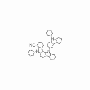 N#Cc1cccc2c3c(ccc4c5ccccc5n(-c5ccc6c(c5)c5ccccc5n6-c5ccccc5)c43)n(-c3ccccc3)c12